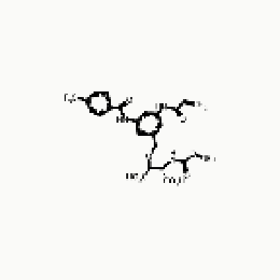 C=CC(=O)Nc1cc(CO[C@H](C(=O)O)[C@H](NC(=O)OC(C)(C)C)C(=O)O)cc(NC(=O)c2ccc(C(F)(F)F)cc2)c1